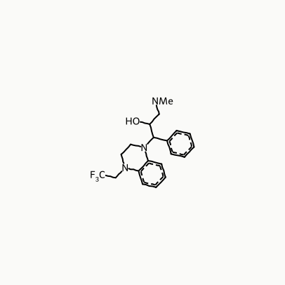 CNCC(O)C(c1ccccc1)N1CCN(CC(F)(F)F)c2ccccc21